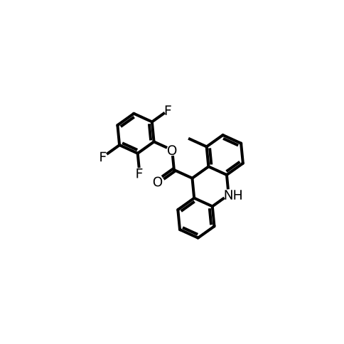 Cc1cccc2c1C(C(=O)Oc1c(F)ccc(F)c1F)c1ccccc1N2